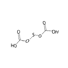 O=C(O)OSOC(=O)O